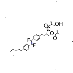 C=C(C)C(=O)OCC(CCc1ccc(/C(F)=C(\F)c2ccc(CCCCC)cc2)cc1)COC(=O)C(=C)CO